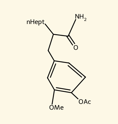 CCCCCCCC(Cc1ccc(OC(C)=O)c(OC)c1)C(N)=O